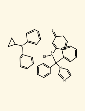 CC[SiH](C1=CC(=S)CC=C1)C(c1ccccc1)(c1ccccc1)n1ccnc1.c1ccc(B(c2ccccc2)C2CC2)cc1